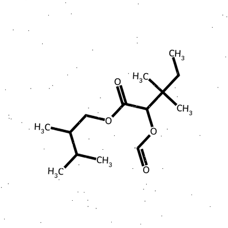 CCC(C)(C)C(O[C]=O)C(=O)OCC(C)C(C)C